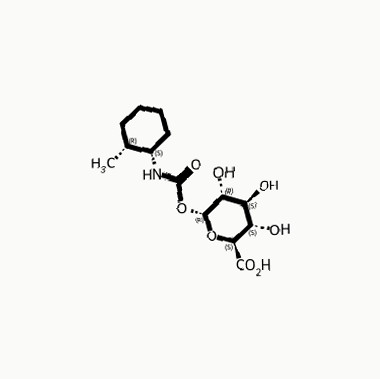 C[C@@H]1CCCC[C@@H]1NC(=O)O[C@H]1O[C@H](C(=O)O)[C@@H](O)[C@H](O)[C@H]1O